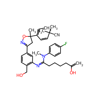 C=C(O)CCCC/C(=N/c1cc(C2=NOC(C)(C(/C=C\C(C)(C)C#N)=C/C)C2)ccc1CO)N(C)c1ccc(F)cc1